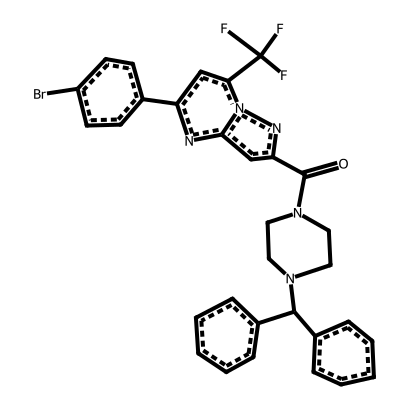 O=C(c1cc2nc(-c3ccc(Br)cc3)cc(C(F)(F)F)n2n1)N1CCN(C(c2ccccc2)c2ccccc2)CC1